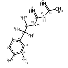 [2H]c1ccc(C([2H])([2H])C([2H])NC(=N)NC(C)=N)cc1[2H]